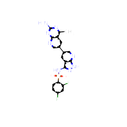 Cc1nc(N)nc2ncc(-c3cnc4[nH]nc(NS(=O)(=O)c5ccc(F)cc5F)c4c3)cc12